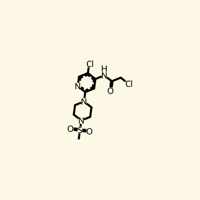 CS(=O)(=O)N1CCN(c2cc(NC(=O)CCl)c(Cl)cn2)CC1